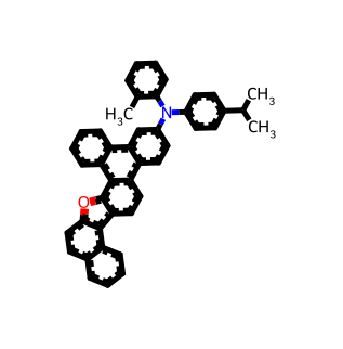 Cc1ccccc1N(c1ccc(C(C)C)cc1)c1ccc2c(c1)c1ccccc1c1c2ccc2c1oc1ccc3ccccc3c12